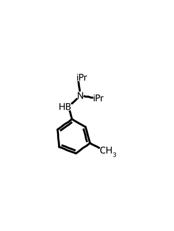 Cc1cccc(BN(C(C)C)C(C)C)c1